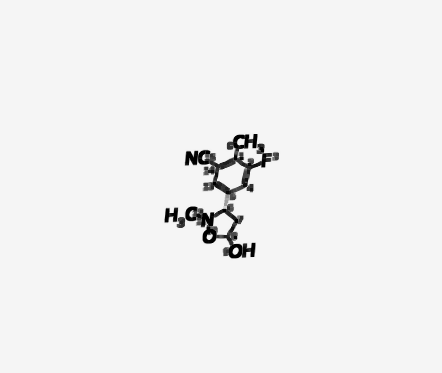 Cc1c(F)cc([C@@H]2CC(O)ON2C)cc1C#N